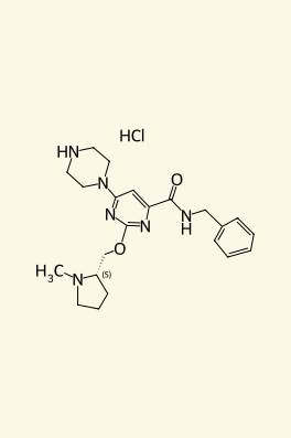 CN1CCC[C@H]1COc1nc(C(=O)NCc2ccccc2)cc(N2CCNCC2)n1.Cl